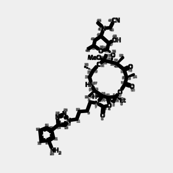 CC[C@]12C[C@@]13OC(=O)N(CCCCn1cc(-c4cccc(N)c4)nn1)[C@@H]3[C@@H](C)NC[C@H](C)C[C@@](C)(OC)[C@H](O[C@@H]1OC(C)CC(N(C)CC#N)C1O)[C@@H](C)C(=O)[C@@H](C)C(=O)O2